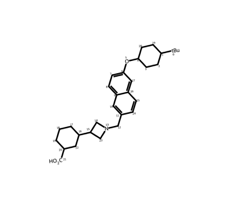 CC(C)(C)C1CCC(Oc2ccc3cc(CN4CC(C5CCCC(C(=O)O)C5)C4)ccc3c2)CC1